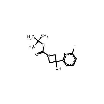 CC(C)(C)OC(=O)N1CC(O)(c2cccc(F)n2)C1